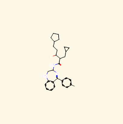 O=C(NC1CNc2ccccc2C(c2ccc(C(F)(F)F)cc2)=N1)C(CC1CC1)C(O)CCC1CCCC1